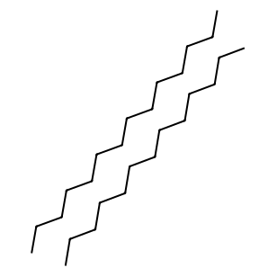 CCCCCCCCCCCCC.CCCCCCCCCCCCCC